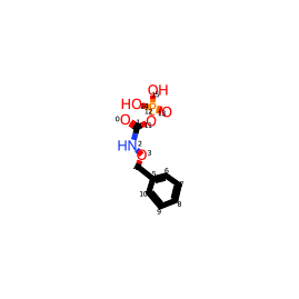 O=C(NOCc1ccccc1)OP(=O)(O)O